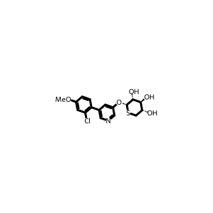 COc1ccc(-c2cncc(O[C@H]3SC[C@@H](O)[C@H](O)[C@H]3O)c2)c(Cl)c1